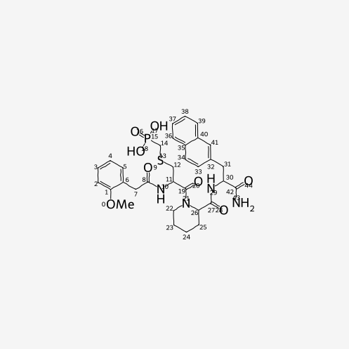 COc1ccccc1CC(=O)NC(CSCP(=O)(O)O)C(=O)N1CCCCC1C(=O)NC(Cc1ccc2ccccc2c1)C(N)=O